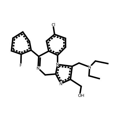 CCN(CC)Cc1c(CO)nc2n1-c1ccc(Cl)cc1C(c1ccccc1F)=NC2